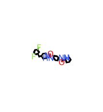 O=C(Nc1ccc(NC(=O)N2CCC(=Cc3cc(F)ccc3F)CC2)cc1)c1ccccn1